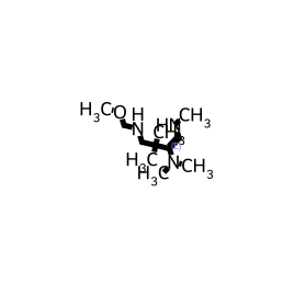 CN/C=C(/N(C)C)C(C)(C)CNCOC